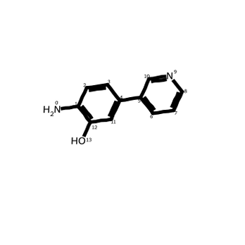 Nc1ccc(-c2cccnc2)cc1O